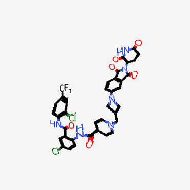 O=C1CCC(N2C(=O)c3ccc(N4CC(CN5CCC(C(=O)Nc6ccc(Cl)cc6C(=O)Nc6ccc(C(F)(F)F)cc6Cl)CC5)C4)cc3C2=O)C(=O)N1